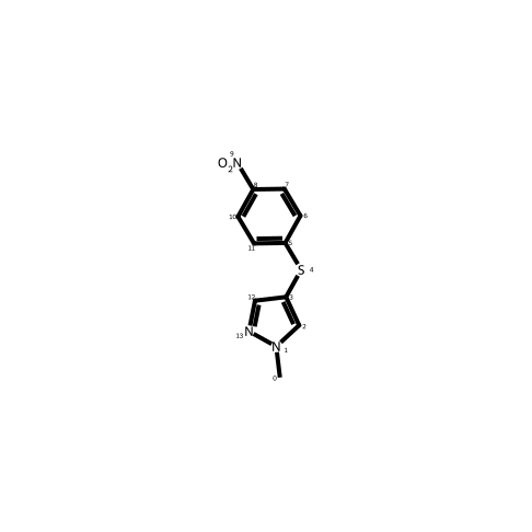 Cn1cc(Sc2ccc([N+](=O)[O-])cc2)cn1